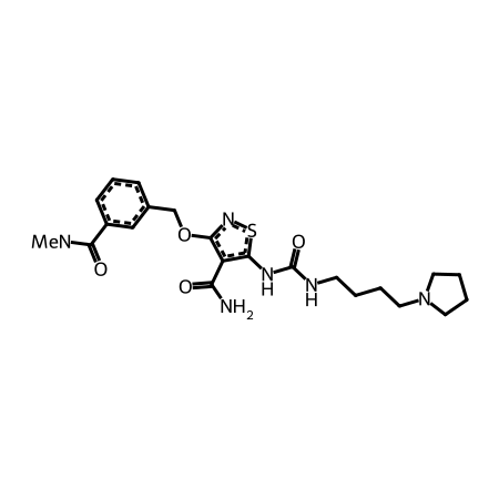 CNC(=O)c1cccc(COc2nsc(NC(=O)NCCCCN3CCCC3)c2C(N)=O)c1